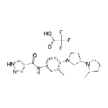 Cc1cc(NC(=O)c2cn[nH]c2)ccc1N1CCC(N2CCCC2C)C1.O=C(O)C(F)(F)F